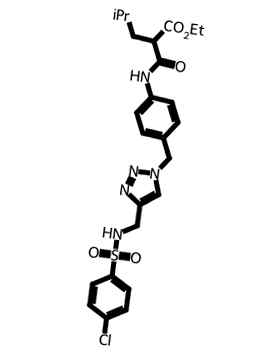 CCOC(=O)C(CC(C)C)C(=O)Nc1ccc(Cn2cc(CNS(=O)(=O)c3ccc(Cl)cc3)nn2)cc1